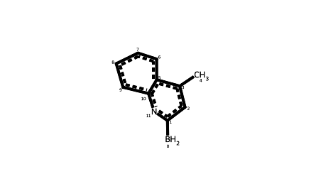 Bc1cc(C)c2ccccc2n1